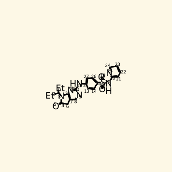 CCC(CC)N1C(=O)Cc2cnc(Nc3ccc(S(=O)(=O)Nc4ccccn4)cc3)nc21